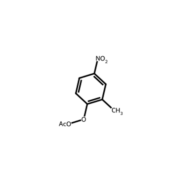 CC(=O)OOc1ccc([N+](=O)[O-])cc1C